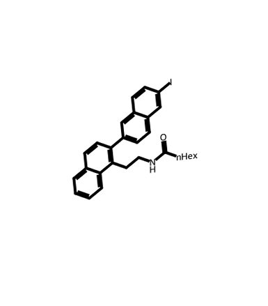 CCCCCCC(=O)NCCc1c(-c2ccc3cc(I)ccc3c2)ccc2ccccc12